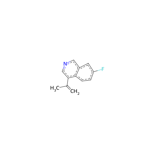 C=C(C)c1cncc2cc(F)ccc12